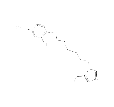 COc1ccc(OCCCCCCn2cncc2CO)c(Cl)c1